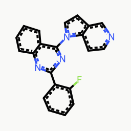 Fc1ccccc1-c1nc(-n2ccc3cnccc32)c2ccccc2n1